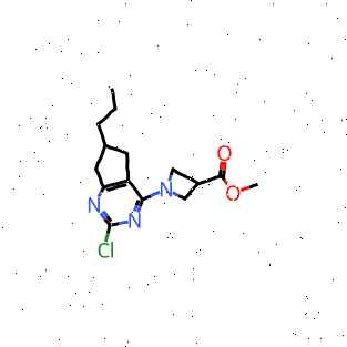 CCCC1Cc2nc(Cl)nc(N3CC(C(=O)OC)C3)c2C1